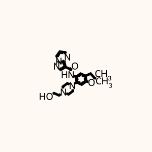 CC1(C)Cc2cc(NC(=O)c3cnn4cccnc34)c(N3CCN(CCO)CC3)cc2O1